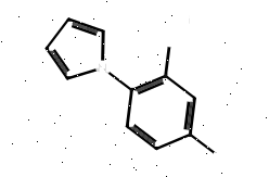 Fc1ccc(-n2cccc2)c(F)c1.[Ti]